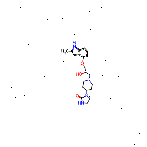 Cc1cc2c(OCC(O)CN3CCC(N4CCNC4=O)CC3)cccc2[nH]1